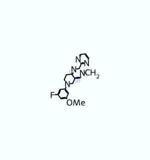 C=N/C=C1/CN(c2cc(F)cc(OC)c2)CC/C1=N/Cc1ncccn1